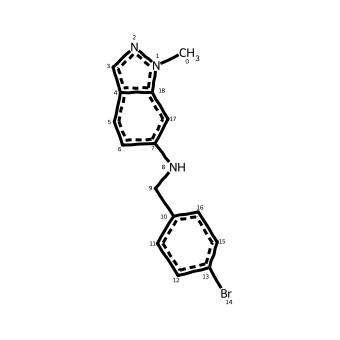 Cn1ncc2ccc(NCc3ccc(Br)cc3)cc21